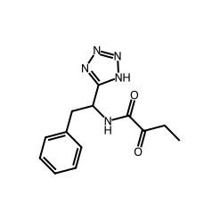 CCC(=O)C(=O)NC(Cc1ccccc1)c1nnn[nH]1